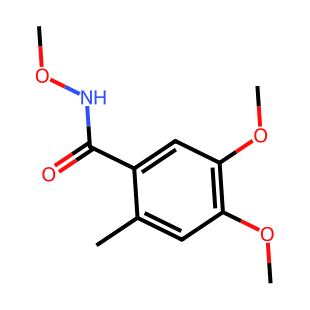 CONC(=O)c1cc(OC)c(OC)cc1C